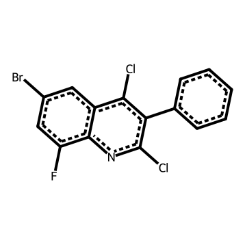 Fc1cc(Br)cc2c(Cl)c(-c3ccccc3)c(Cl)nc12